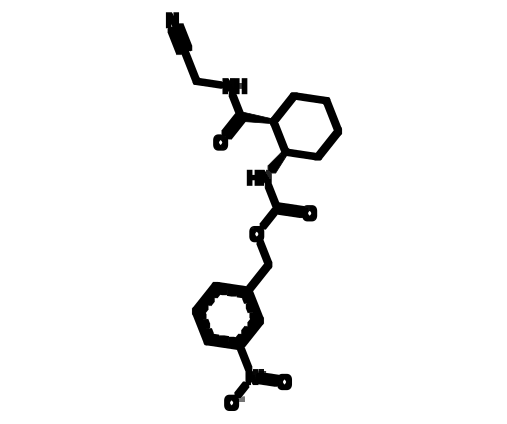 N#CCNC(=O)[C@H]1CCCC[C@H]1NC(=O)OCc1cccc([N+](=O)[O-])c1